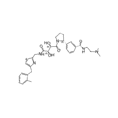 Cc1ccccc1Cc1csc(CNC(=O)[C@H](O)[C@@H](O)C(=O)N2CCC[C@@H]2c2cccc(C(=O)NCCN(C)C)c2)n1